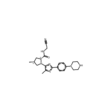 Cc1sc(-c2ccc(N3CCNCC3)cc2)nc1N1C[C@@H](C)C[C@H]1C(=O)NCC#N